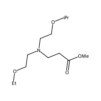 CCOCCN(CCOC(C)C)CCC(=O)OC